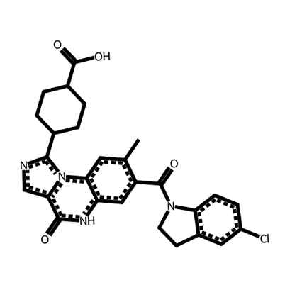 Cc1cc2c(cc1C(=O)N1CCc3cc(Cl)ccc31)[nH]c(=O)c1cnc(C3CCC(C(=O)O)CC3)n12